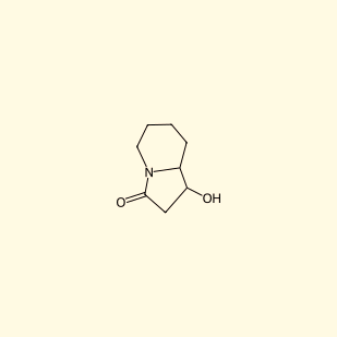 O=C1CC(O)C2CCCCN12